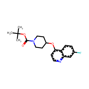 CC(C)(C)OC(=O)N1CCC(Oc2ccnc3cc(F)ccc23)CC1